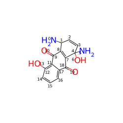 NC1C=CC(N)(O)C2=C1C(=O)c1c(O)cccc1C2=O